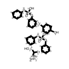 CCCCC(CC)C(=O)O.Cc1ccc(O)cc1.O=P(O)(Oc1ccccc1)Oc1ccccc1.O=P(O)(Oc1ccccc1)Oc1ccccc1.[SnH2]